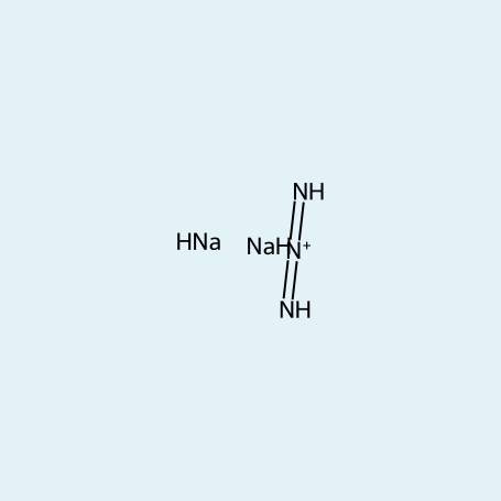 N=[N+]=N.[NaH].[NaH]